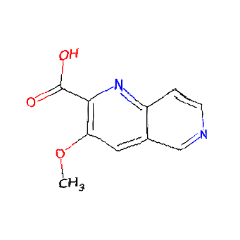 COc1cc2cnccc2nc1C(=O)O